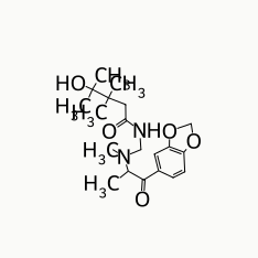 CC(C(=O)c1ccc2c(c1)OCO2)N(C)CNC(=O)CC(C)(C)C(C)(C)O